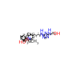 CC1(C)CC(CCCCNc2ncnc(NCCO)n2)CC(C)(C)N1O[C@@H]1CCCC[C@H]1O